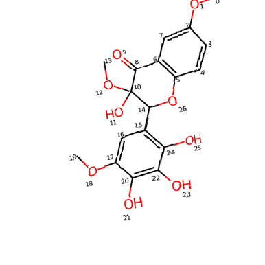 COc1ccc2c(c1)C(=O)C(O)(OC)C(c1cc(OC)c(O)c(O)c1O)O2